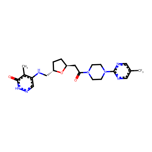 Cc1c(NC[C@@H]2CC[C@@H](CC(=O)N3CCN(c4ncc(C(F)(F)F)cn4)CC3)O2)cn[nH]c1=O